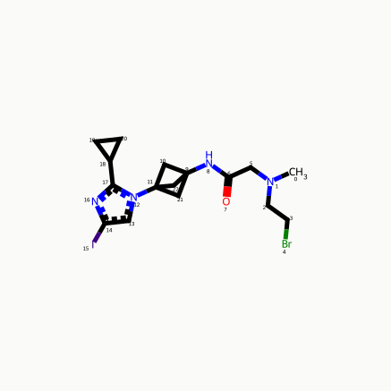 CN(CCBr)CC(=O)NC12CC(n3cc(I)nc3C3CC3)(C1)C2